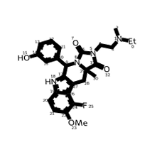 CCN(C)CCN1C(=O)N2C(c3cccc(O)c3)c3[nH]c4ccc(OC)c(F)c4c3CC2(C)C1=O